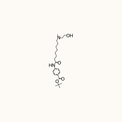 CN(CCO)CCCCCCCC(=O)Nc1ccc(C(=O)OC(C)(C)C)cc1